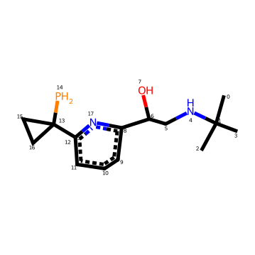 CC(C)(C)NCC(O)c1cccc(C2(P)CC2)n1